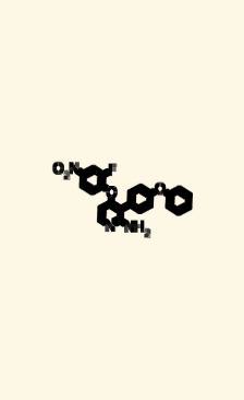 Nc1nccc(Oc2ccc([N+](=O)[O-])cc2F)c1-c1ccc(Oc2ccccc2)cc1